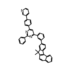 CC1(C)c2cc(-c3cccc(-c4cc(-c5ccc(-c6cccnc6)cc5)nc(-c5ccccc5)n4)c3)ccc2-c2c1ccc1ccccc21